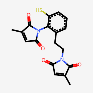 CC1=CC(=O)N(CCc2cccc(S)c2N2C(=O)C=C(C)C2=O)C1=O